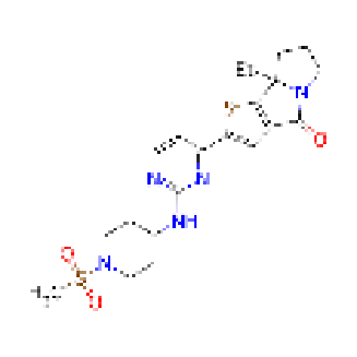 CCC12CCCN1C(=O)c1cc(-c3ccnc(NC4CCN(S(C)(=O)=O)CC4)n3)sc12